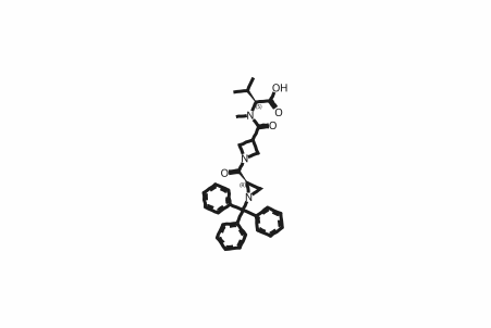 CC(C)[C@@H](C(=O)O)N(C)C(=O)C1CN(C(=O)[C@H]2CN2C(c2ccccc2)(c2ccccc2)c2ccccc2)C1